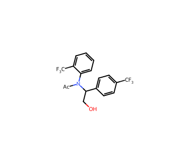 CC(=O)N(c1ccccc1C(F)(F)F)C(CO)c1ccc(C(F)(F)F)cc1